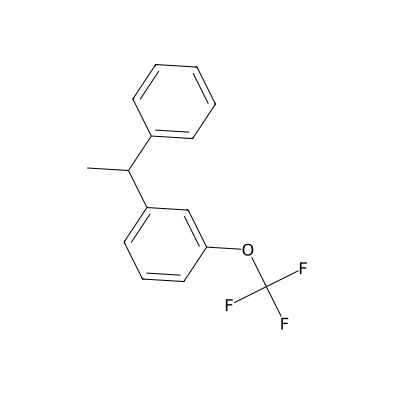 CC(c1ccccc1)c1cccc(OC(F)(F)F)c1